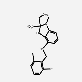 CCc1cccc(C)c1CNc1cccc2c1NC(COC)(C(=O)O)N2C